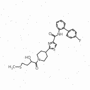 CSCCC(O)C(=O)N1CCC(c2nc(C(=O)Nc3ccccc3-c3ccc(F)cc3)cs2)CC1